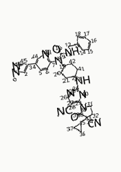 Cn1cc(-c2ccc(N(C(=O)NCc3ccccc3)C3CCC(Nc4ncc(C#N)c(N5CC[C@@](C#N)(C6CC6)C5=O)n4)CC3)nc2)cn1